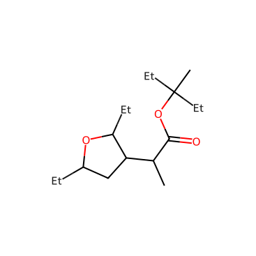 CCC1CC(C(C)C(=O)OC(C)(CC)CC)C(CC)O1